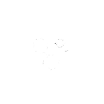 C1CCCCC(C2CCCCCCCCC2)CCCC1.O=C(O)c1cc(O)c(O)c(O)c1